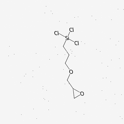 Cl[Si](Cl)(Cl)CCCOCC1CO1